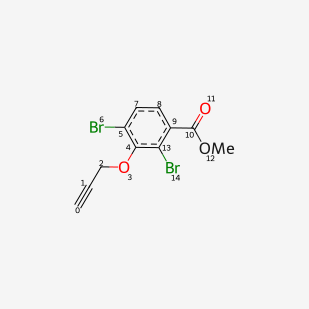 C#CCOc1c(Br)ccc(C(=O)OC)c1Br